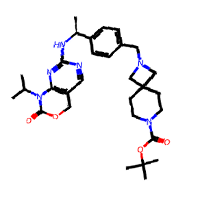 CC(C)N1C(=O)OCc2cnc(N[C@@H](C)c3ccc(CN4CC5(CCN(C(=O)OC(C)(C)C)CC5)C4)cc3)nc21